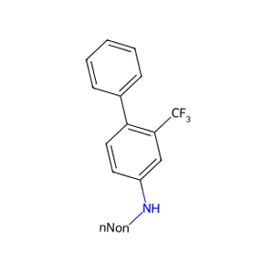 CCCCCCCCCNc1ccc(-c2ccccc2)c(C(F)(F)F)c1